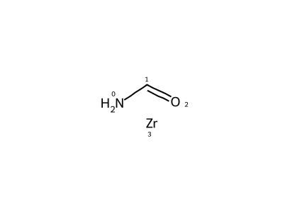 NC=O.[Zr]